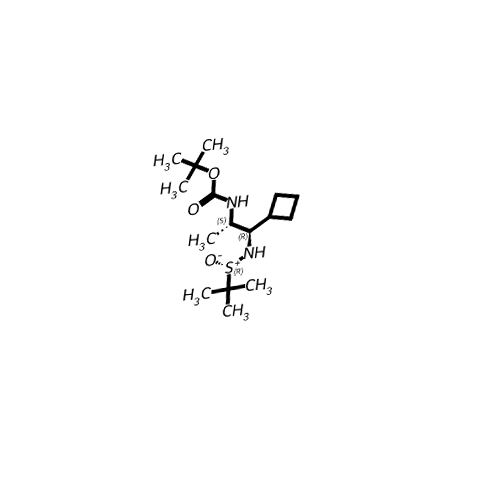 C[C@H](NC(=O)OC(C)(C)C)[C@H](N[S@@+]([O-])C(C)(C)C)C1CCC1